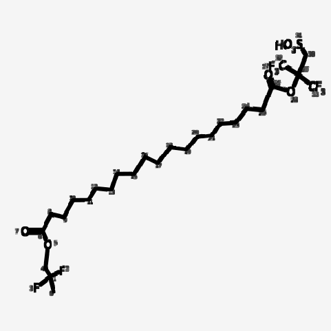 CC(F)(F)COC(=O)CCCCCCCCCCCCCCCCCCC(=O)OC(CS(=O)(=O)O)(C(F)(F)F)C(F)(F)F